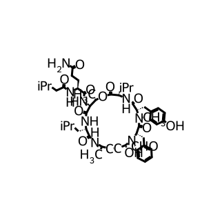 CC(C)CC(=O)N[C@@H](CCC(N)=O)C(=O)N[C@@H]1C(=O)N[C@@H](CC(C)C)C(=O)NC(C)CC[C@H](O)N(C=O)[C@@H](Cc2ccccc2)C(=O)N(C)[C@@H](Cc2ccc(O)cc2)C(=O)N[C@@H](C(C)C)C(=O)O[C@@H]1C